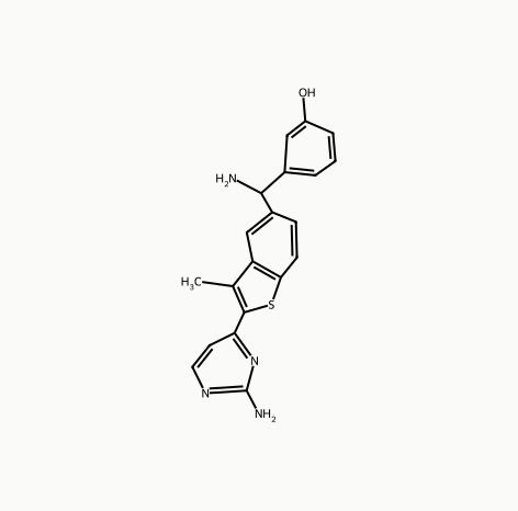 Cc1c(-c2ccnc(N)n2)sc2ccc(C(N)c3cccc(O)c3)cc12